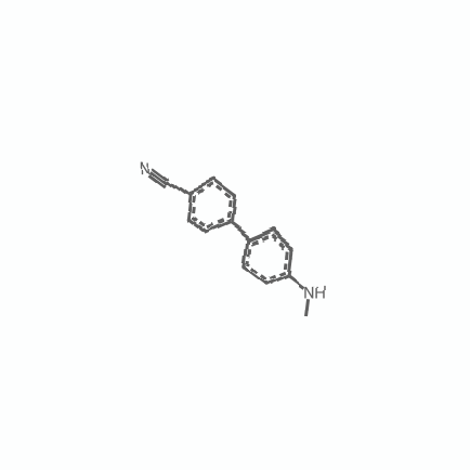 CNc1ccc(-c2ccc(C#N)cc2)cc1